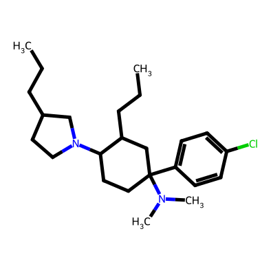 CCCC1CCN(C2CCC(c3ccc(Cl)cc3)(N(C)C)CC2CCC)C1